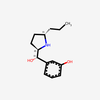 CCC[C@H]1CC[C@H]([C@@H](O)c2cccc(O)c2)N1